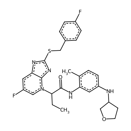 CCC(C(=O)Nc1cc(NC2CCOC2)ccc1C)n1cc(F)cc2nc(SCc3ccc(F)cc3)nc1-2